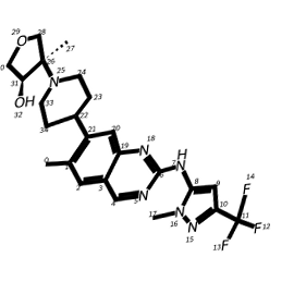 Cc1cc2cnc(Nc3cc(C(F)(F)F)nn3C)nc2cc1C1CCN([C@]2(C)COC[C@@H]2O)CC1